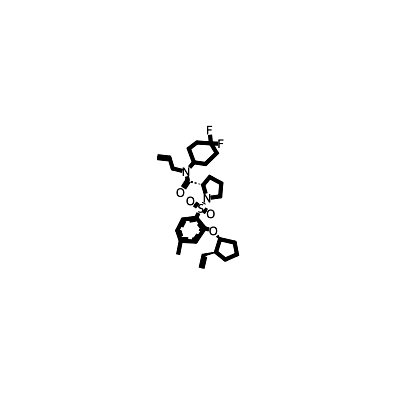 C=CCN(C(=O)[C@@H]1CCCN1S(=O)(=O)c1ccc(C)cc1O[C@H]1CCC[C@H]1C=C)C1CCC(F)(F)CC1